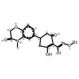 CCON=C(CC)C1=C(O)CC(c2ccc3c(c2)N(C)C(=O)CO3)CC1=O